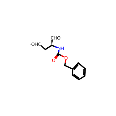 O=[C]C[C@@H]([C]=O)NC(=O)OCc1ccccc1